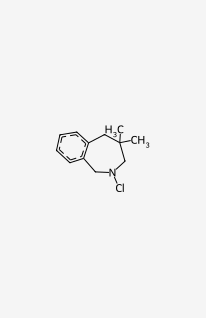 CC1(C)Cc2ccccc2CN(Cl)C1